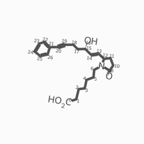 O=C(O)CCCCCCN1C(=O)CCC1C=C[C@@H](O)CCC#Cc1ccccc1